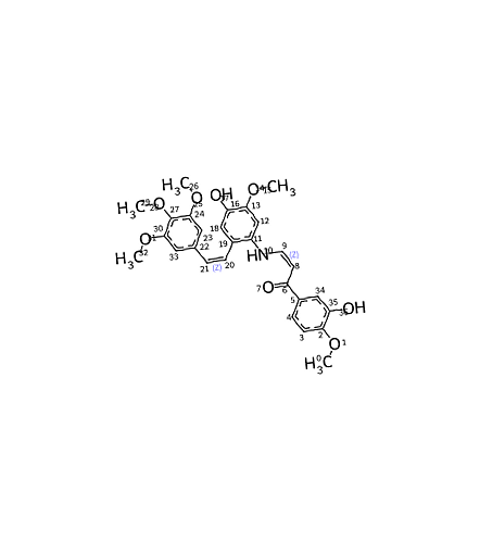 COc1ccc(C(=O)/C=C\Nc2cc(OC)c(O)cc2/C=C\c2cc(OC)c(OC)c(OC)c2)cc1O